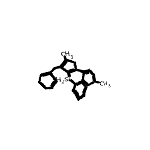 CC1=C(Cc2ccccc2)C([SiH2]c2ccccc2)=C(c2ccc(C)cc2)C1